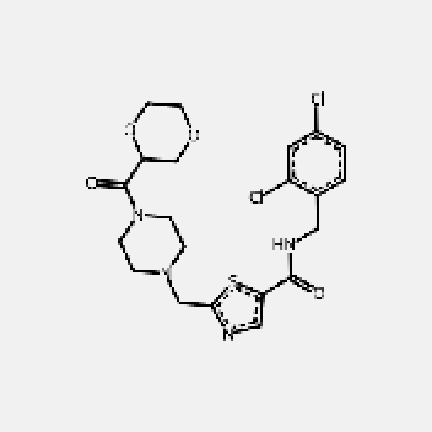 O=C(NCc1ccc(Cl)cc1Cl)c1cnc(CN2CCN(C(=O)C3COCCO3)CC2)s1